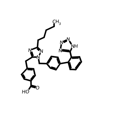 CCCCCc1nc(Cc2ccc(C(=O)O)cc2)n(Cc2ccc(-c3ccccc3-c3nnn[nH]3)cc2)n1